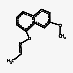 CC=NOc1cccc2ccc(OC)cc12